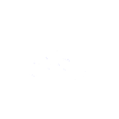 Cc1nn(C)cc1-c1nc2c3cccc(Cl)c3nc(N[C@@H]3CNCCNC3=O)n2n1